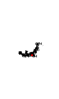 CC(=O)OCC1CN(c2ccc(OCC3(OP(=O)(O)O)CCN(c4cc5c(cc4F)c(=O)c(C(=O)OCc4ccccc4)cn5C4CC4)CC3)c(F)c2)C(=O)O1